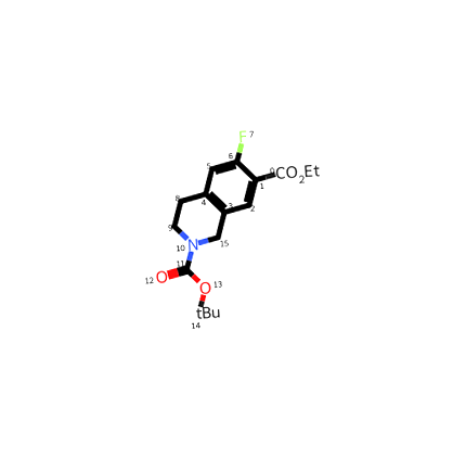 CCOC(=O)c1cc2c(cc1F)CCN(C(=O)OC(C)(C)C)C2